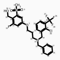 CS(=O)(=O)c1cc(OCCCN(Cc2ccccc2)Cc2cccc(C(F)(F)F)c2Cl)cc(F)c1CO